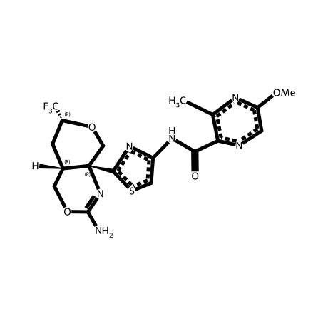 COc1cnc(C(=O)Nc2csc([C@]34CO[C@@H](C(F)(F)F)C[C@H]3COC(N)=N4)n2)c(C)n1